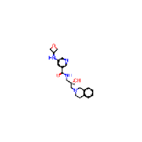 O=C(NC[C@H](O)CN1CCc2ccccc2C1)c1cncc(NC2COC2)c1